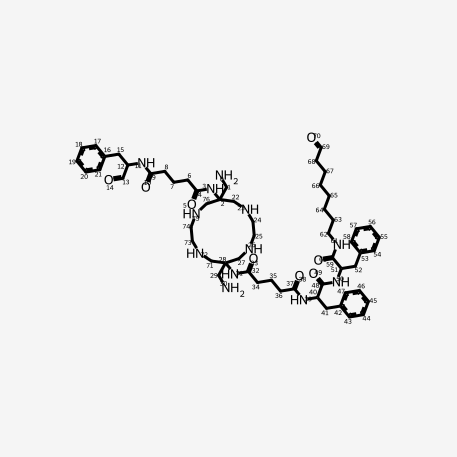 NCC1(NC(=O)CCCC(=O)NC(C=O)Cc2ccccc2)CNCCNCC(CN)(NC(=O)CCCC(=O)NC(Cc2ccccc2)C(=O)NC(Cc2ccccc2)C(=O)NCCCCCCCC=O)CNCCNC1